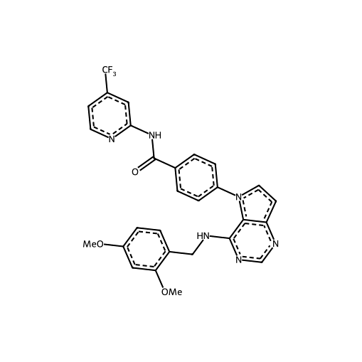 COc1ccc(CNc2ncnc3ccn(-c4ccc(C(=O)Nc5cc(C(F)(F)F)ccn5)cc4)c23)c(OC)c1